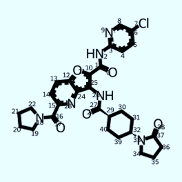 O=C(Nc1ccc(Cl)cn1)c1oc2ccc(C(=O)N3CCCC3)nc2c1NC(=O)[C@H]1CC[C@H](N2CCCC2=O)CC1